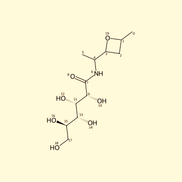 CC1CC(C(C)NC(=O)[C@H](O)[C@@H](O)[C@H](O)[C@H](O)CO)O1